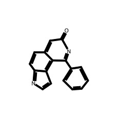 O=C1C=c2ccc3c(c2C(c2ccccc2)=N1)C=CN=3